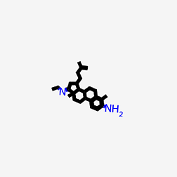 C=C(C)CCC1C/C(=N\CC)C2(C)CCC3c4ccc(N)c(C)c4CCC3C12